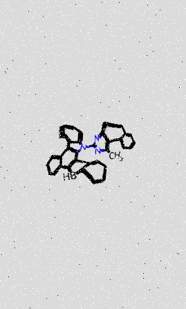 Cc1nc(-n2c3ccccc3c3c4ccccc4c4c(c32)-c2ccccc2B4)nc2ccc3ccccc3c12